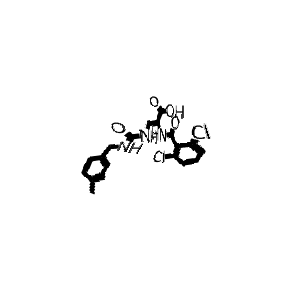 Cc1ccc(CNC(=O)NCC(NC(=O)c2c(Cl)cccc2Cl)C(=O)O)cc1